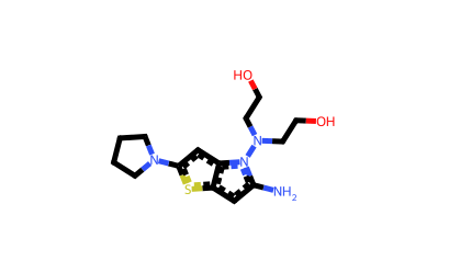 Nc1cc2sc(N3CCCC3)cc2n1N(CCO)CCO